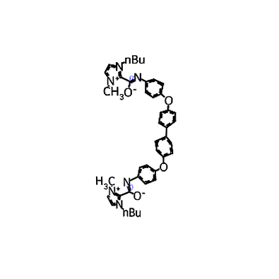 CCCCn1cc[n+](C)c1/C([O-])=N/c1ccc(Oc2ccc(-c3ccc(Oc4ccc(/N=C(\[O-])c5n(CCCC)cc[n+]5C)cc4)cc3)cc2)cc1